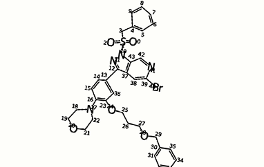 O=S(=O)(Cc1ccccc1)n1nc(-c2ccc(N3CCOCC3)c(OCCCOCc3ccccc3)c2)c2cc(Br)ncc21